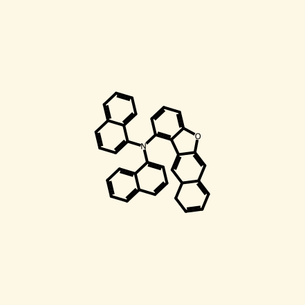 C1=CCC2C=c3c(oc4cccc(N(c5cccc6ccccc56)c5cccc6ccccc56)c34)=CC2=C1